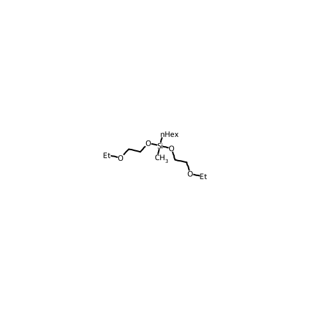 CCCCCC[Si](C)(OCCOCC)OCCOCC